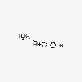 N#Cc1ccc(-c2ccc(NCCCCCN)cc2)cc1